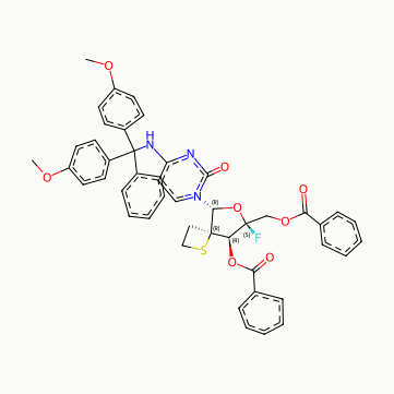 COc1ccc(C(Nc2ccn([C@@H]3O[C@](F)(COC(=O)c4ccccc4)[C@@H](OC(=O)c4ccccc4)[C@]34CCS4)c(=O)n2)(c2ccccc2)c2ccc(OC)cc2)cc1